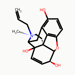 C=CC[N@@+]1(C)CC[C@@]23c4c5ccc(O)c4CC1C2(O)C=C[C@H](O)C3O5